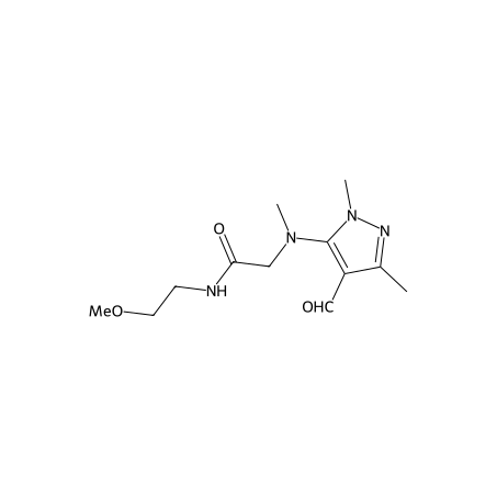 COCCNC(=O)CN(C)c1c(C=O)c(C)nn1C